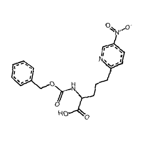 O=C(NC(CCCc1ccc([N+](=O)[O-])cn1)C(=O)O)OCc1ccccc1